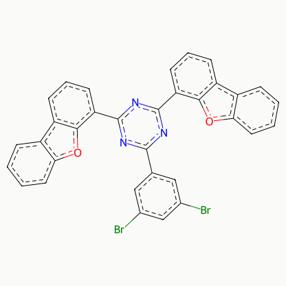 Brc1cc(Br)cc(-c2nc(-c3cccc4c3oc3ccccc34)nc(-c3cccc4c3oc3ccccc34)n2)c1